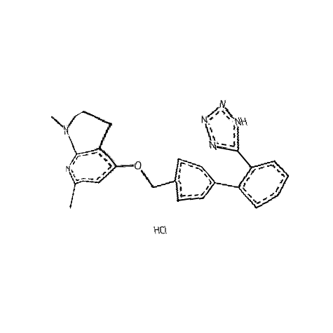 Cc1cc(OCc2ccc(-c3ccccc3-c3nnn[nH]3)cc2)c2c(n1)N(C)CC2.Cl